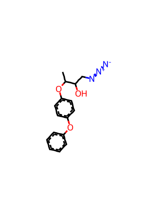 CC(Oc1ccc(Oc2ccccc2)cc1)C(O)CN=[N+]=[N-]